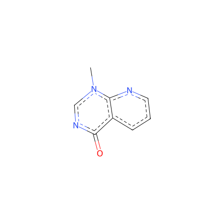 Cn1cnc(=O)c2cccnc21